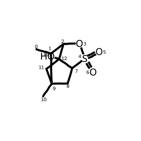 CC1C2OS(=O)(=O)C3CC1(C)CC23O